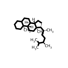 CC(C)[C@H](C)CC[C@@H](C)[C@H]1CC[C@H]2[C@@H]3CCC4CCCC[C@]4(C)[C@H]3CC[C@]12C